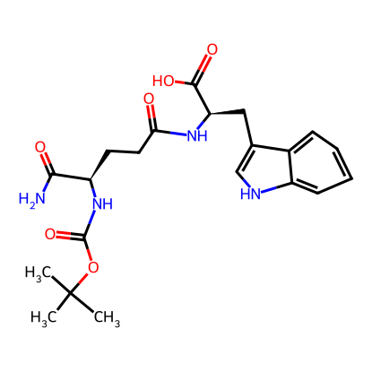 CC(C)(C)OC(=O)N[C@H](CCC(=O)N[C@H](Cc1c[nH]c2ccccc12)C(=O)O)C(N)=O